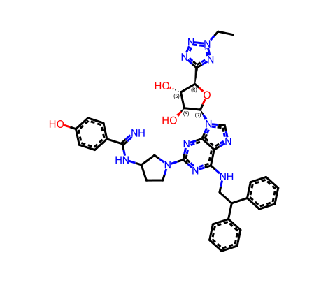 CCn1nnc([C@H]2O[C@@H](n3cnc4c(NCC(c5ccccc5)c5ccccc5)nc(N5CCC(NC(=N)c6ccc(O)cc6)C5)nc43)[C@@H](O)[C@@H]2O)n1